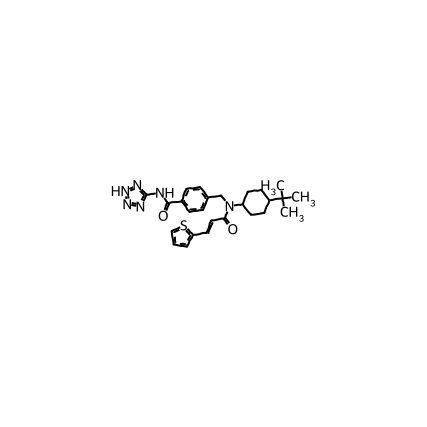 CC(C)(C)C1CCC(N(Cc2ccc(C(=O)Nc3nn[nH]n3)cc2)C(=O)/C=C/c2cccs2)CC1